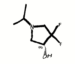 CC(C)N1C[C@@H](O)C(F)(F)C1